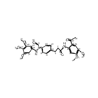 COc1cc(NC(=O)CCc2ccc(N(C=O)Nc3cc(OC)c(OC)c(OC)c3)cc2)c(C(C)=O)cc1OC